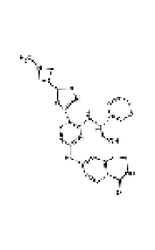 CN1CC(c2nnc(-c3cnc(Nc4ccc5c(c4)CCNC5=O)nc3N[C@H](CO)c3ccccc3)o2)C1